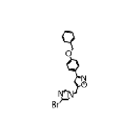 Brc1cn(Cc2cc(-c3ccc(OCc4ccccc4)cc3)no2)cn1